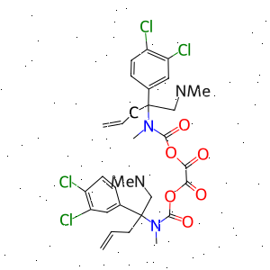 C=CCC(CNC)(c1ccc(Cl)c(Cl)c1)N(C)C(=O)OC(=O)C(=O)OC(=O)N(C)C(CC=C)(CNC)c1ccc(Cl)c(Cl)c1